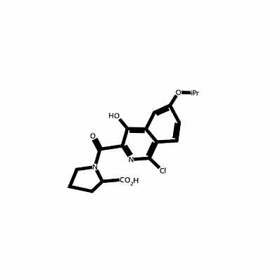 CC(C)Oc1ccc2c(Cl)nc(C(=O)N3CCCC3C(=O)O)c(O)c2c1